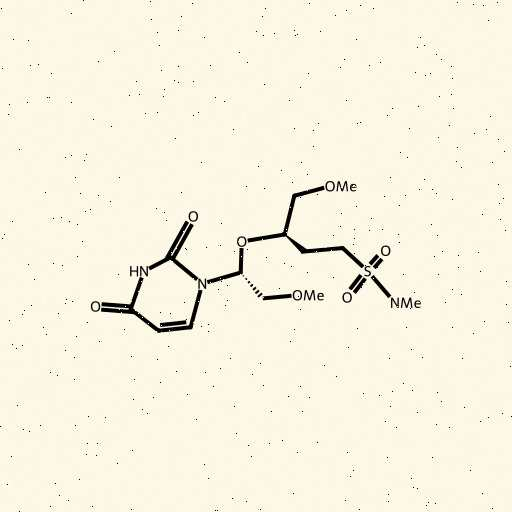 CNS(=O)(=O)CC[C@H](COC)O[C@H](COC)n1ccc(=O)[nH]c1=O